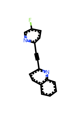 Fc1ccc(C#Cc2ccc3ccccc3n2)nc1